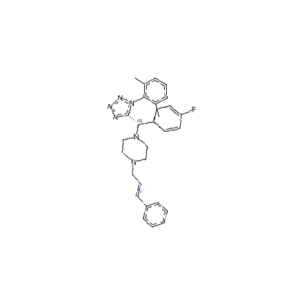 Cc1cccc(C)c1-n1nnnc1[C@H](C1C=CC(F)=CC1)N1CCN(C/C=C/c2ccccc2)CC1